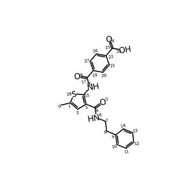 Cc1cc(C(=O)NCCc2ccccc2)c(NC(=O)c2ccc(C(=O)O)cc2)s1